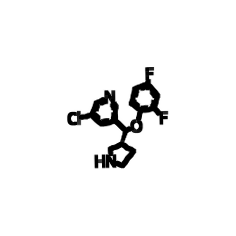 Fc1ccc(OC(c2cncc(Cl)c2)[C@H]2CCNC2)c(F)c1